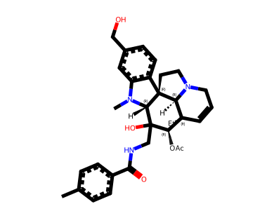 CC[C@]12C=CCN3CC[C@@]4(c5ccc(CO)cc5N(C)[C@H]4C(O)(CNC(=O)c4ccc(C)cc4)[C@@H]1OC(C)=O)[C@@H]32